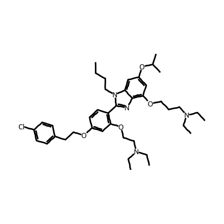 CCCCn1c(-c2ccc(OCCc3ccc(Cl)cc3)cc2OCCN(CC)CC)nc2c(OCCCN(CC)CC)cc(OC(C)C)cc21